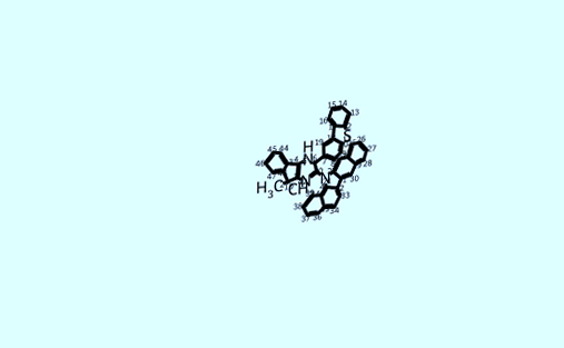 CC1(C)C2=C(NC(c3ccc4sc5ccccc5c4c3)C(n3c4cc5ccccc5cc4c4ccc5ccccc5c43)=N2)c2ccccc21